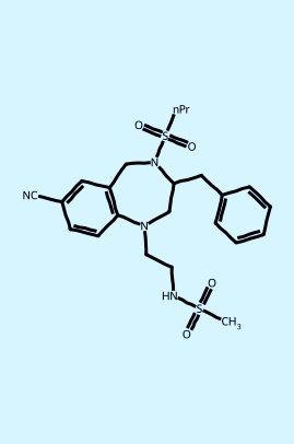 CCCS(=O)(=O)N1Cc2cc(C#N)ccc2N(CCNS(C)(=O)=O)CC1Cc1ccccc1